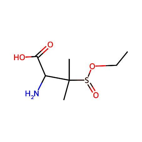 CCOS(=O)C(C)(C)C(N)C(=O)O